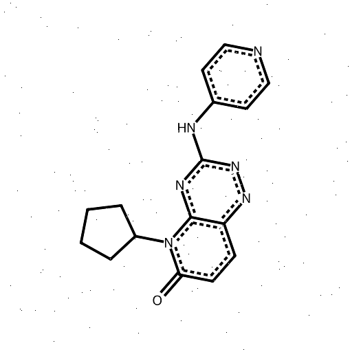 O=c1ccc2nnc(Nc3ccncc3)nc2n1C1CCCC1